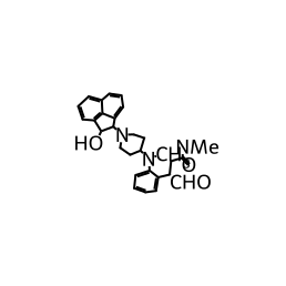 CNC(=O)CC(C=O)c1ccccc1N(C)C1CCN(C2c3cccc4cccc(c34)C2O)CC1